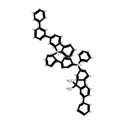 CC1(C)c2cc(-c3ccccc3)ccc2-c2ccc(N(c3ccccc3)c3ccc(-c4ccccc4-n4c5ccccc5c5ccc(-c6cccc(-c7ccccc7)c6)cc54)cc3)cc21